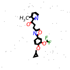 Cc1cccnc1C(=O)CCc1coc(-c2ccc(OCC3CC3)c(OC(F)F)c2)n1